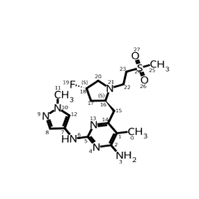 Cc1c(N)nc(Nc2cnn(C)c2)nc1C[C@H]1C[C@H](F)CN1CCS(C)(=O)=O